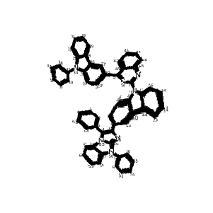 c1ccc(-c2c(-c3ccc4c(c3)c3ccccc3n4-c3nc(-c4ccc5c(c4)c4ccccc4n5-c4ccccc4)c4ccccc4n3)nc3n(-c4ccccc4)c4ccccc4n23)cc1